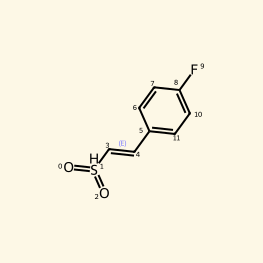 O=[SH](=O)/C=C/c1ccc(F)cc1